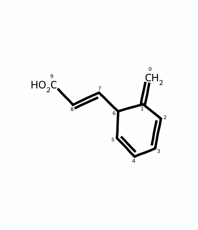 C=C1C=CC=CC1C=CC(=O)O